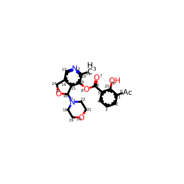 CC(=O)c1cccc(C(=O)Oc2c(C)ncc3c2C(N2CCOCC2)OC3)c1O